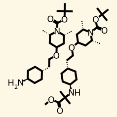 COC(=O)C(C)(C)N[C@H]1CC[C@H](CCOC2C[C@@H](C)N(C(=O)OC(C)(C)C)[C@@H](C)C2)CC1.C[C@@H]1CC(OCC[C@H]2CC[C@H](N)CC2)C[C@H](C)N1C(=O)OC(C)(C)C